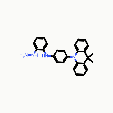 CC1(C)c2ccccc2N(c2ccc(Nc3ccccc3NN)cc2)c2ccccc21